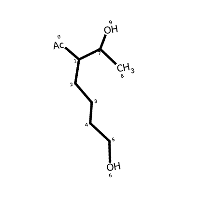 CC(=O)C(CCCCO)C(C)O